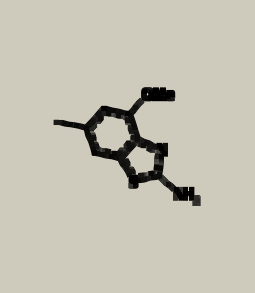 [CH2]c1cc(OC)c2nc(N)sc2c1